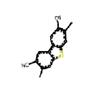 Cc1cc2sc3cc(C)c(C#N)cc3c2cc1C#N